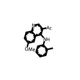 COc1ccc2ncc(C(C)=O)c(Nc3ccccc3C)c2c1